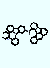 C/C=C\C(=C/C)c1ccccc1-n1c2ccccc2c2ccc(NC3=C4C(=CCC3)C3=C5C4=c4ccccc4=CC5CC=C3)cc21